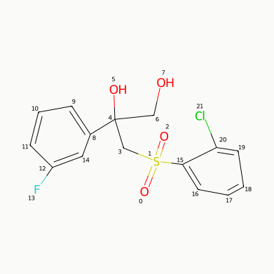 O=S(=O)(CC(O)(CO)c1cccc(F)c1)c1ccccc1Cl